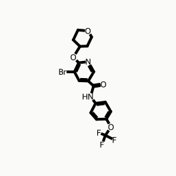 O=C(Nc1ccc(OC(F)(F)F)cc1)c1cnc(OC2CCOCC2)c(Br)c1